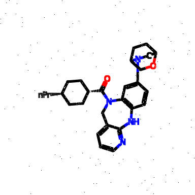 CCC[C@H]1CC[C@H](C(=O)N2Cc3cccnc3Nc3ccc(N4CC5CCC4CO5)cc32)CC1